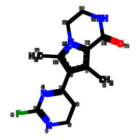 Cc1c(C2=NC(F)=NCC2)c(C)n2c1C(=O)NCC2